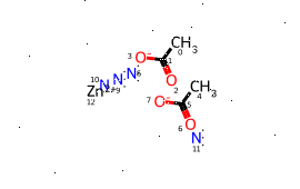 CC(=O)[O-].CC(=O)[O-].[N].[N].[N].[N].[Zn+2]